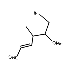 COC(CC(C)C)C(C)C=CC=O